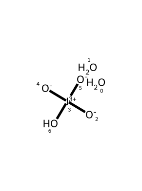 O.O.[O-][I+3]([O-])([O-])O